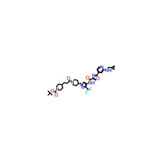 CC(C)(C)OC(=O)N1CCC(CCC(=O)N2CCC(n3cc(NC(=O)c4coc(-c5ccnc(NCC6CC6)c5)n4)c(C(F)F)n3)CC2)CC1